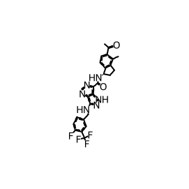 CC(=O)c1ccc2c(c1C)CC[C@@H]2NC(=O)c1ncnc2c(NCc3ccc(F)c(C(F)(F)F)c3)n[nH]c12